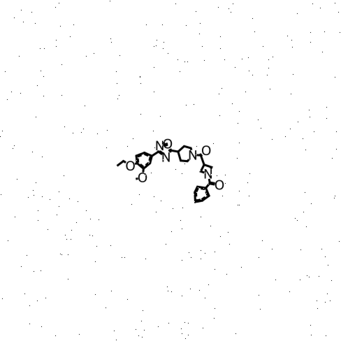 CCOc1ccc(-c2noc(C3CCN(C(=O)C4CN(C(=O)c5ccccc5)C4)CC3)n2)cc1OC